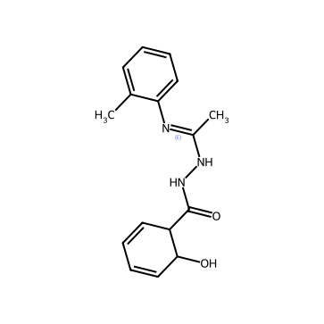 C/C(=N\c1ccccc1C)NNC(=O)C1C=CC=CC1O